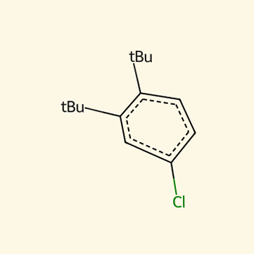 CC(C)(C)c1ccc(Cl)cc1C(C)(C)C